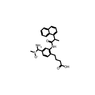 CC(C(=O)Nc1cc(C(N)[S+](C)[O-])ccc1CCCC(=O)O)c1cccc2ccccc12